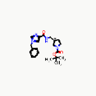 CC(C)(C)OC(=O)N1CC[C@H](CNC(=O)c2cn(Cc3ccccc3)cn2)C1